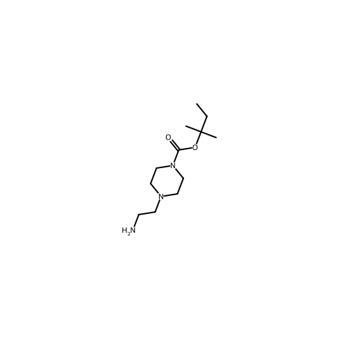 CCC(C)(C)OC(=O)N1CCN(CCN)CC1